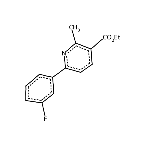 CCOC(=O)c1ccc(-c2cccc(F)c2)nc1C